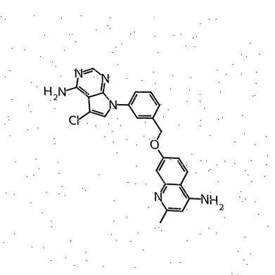 Cc1cc(N)c2ccc(OCc3cccc(-n4cc(Cl)c5c(N)ncnc54)c3)cc2n1